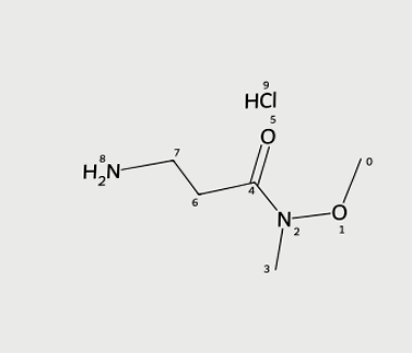 CON(C)C(=O)CCN.Cl